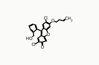 C=CCCOc1cc2oc3cc(=O)c(Cl)cc-3c(-c3ccccc3CO)c2cc1Cl